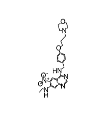 CCNc1cc2ncnc(NCc3ccc(OCCCN4CCOCC4)cc3)c2cc1[N+](=O)[O-]